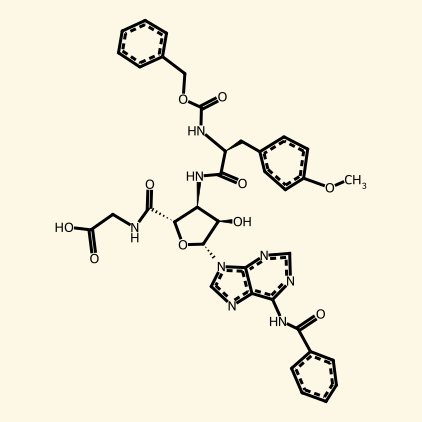 COc1ccc(C[C@H](NC(=O)OCc2ccccc2)C(=O)N[C@H]2[C@@H](O)[C@H](n3cnc4c(NC(=O)c5ccccc5)ncnc43)O[C@@H]2C(=O)NCC(=O)O)cc1